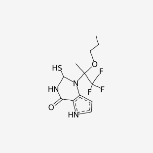 CCCOC(C)(N1c2cc[nH]c2C(=O)NC1S)C(F)(F)F